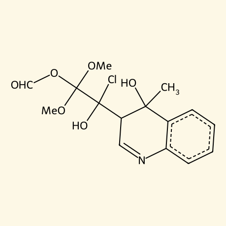 COC(OC)(OC=O)C(O)(Cl)C1C=Nc2ccccc2C1(C)O